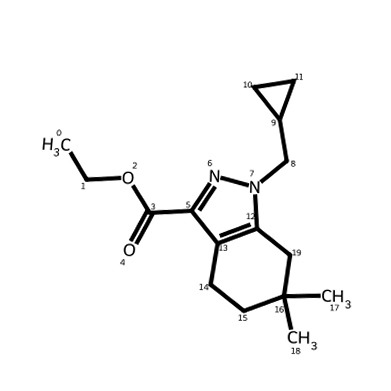 CCOC(=O)c1nn(CC2CC2)c2c1CCC(C)(C)C2